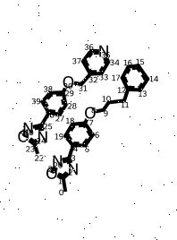 Cc1nc(-c2ccc(OCCCc3ccccc3)cc2)no1.Cc1nc(-c2ccc(OCc3ccncc3)cc2)no1